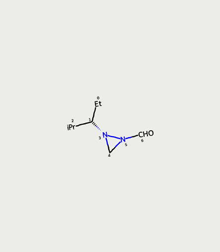 CCC(C(C)C)[N@@]1CN1C=O